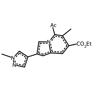 CCOC(=O)c1cc2cc(-c3cnn(C)c3)cn2c(C(C)=O)c1C